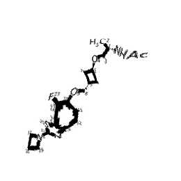 CC(=O)N[C@@H](C)CO[C@H]1C[C@H](COc2ccc3nc(N4CCC4)sc3c2F)C1